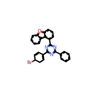 BrC1C=CC(c2nc(-c3ccccc3)nc(-c3cccc4oc5ccccc5c34)n2)=CC1